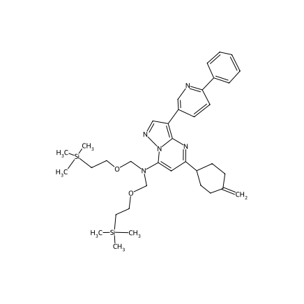 C=C1CCC(c2cc(N(COCC[Si](C)(C)C)COCC[Si](C)(C)C)n3ncc(-c4ccc(-c5ccccc5)nc4)c3n2)CC1